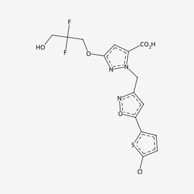 O=C(O)c1cc(OCC(F)(F)CO)nn1Cc1cc(-c2ccc(Cl)s2)on1